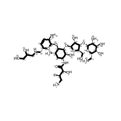 NC[C@@H](F)[C@H](O)C(=O)N[C@@H]1C[C@H](N)[C@@H](O[C@H]2O[C@H](CNCC(O)CO)C=C[C@H]2N)[C@H](O[C@@H]2O[C@H](CO)[C@@H](O[C@H]3O[C@@H](CN)[C@@H](O)[C@H](O)[C@H]3N)[C@H]2O)[C@H]1O